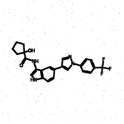 O=C(Nc1c[nH]c2ccc(-c3cnn(-c4ccc(C(F)(F)F)cc4)c3)cc12)C1(O)CCCC1